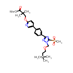 COC(=O)C(C)(C)COc1ccc(-c2ccc(-c3nc(S(C)(=O)=O)n(COCC[Si](C)(C)C)n3)cc2)cn1